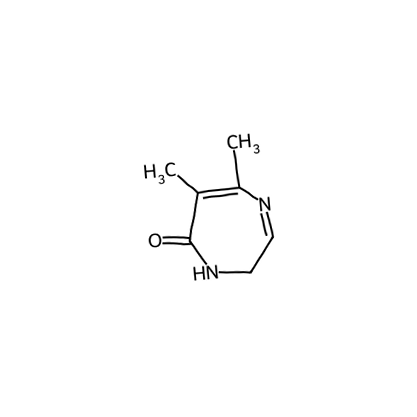 CC1=C(C)C(=O)NCC=N1